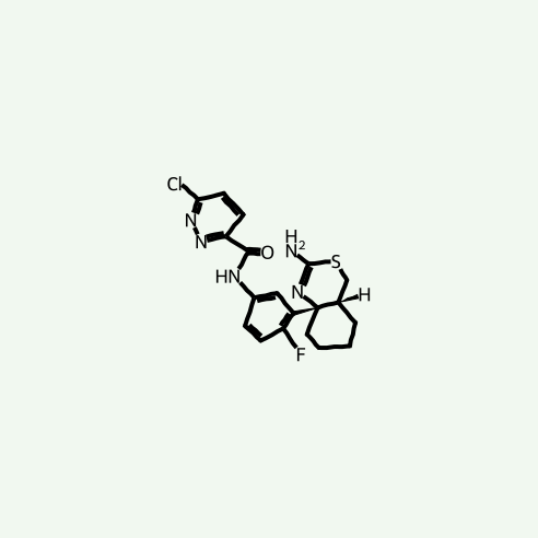 NC1=N[C@@]2(c3cc(NC(=O)c4ccc(Cl)nn4)ccc3F)CCCC[C@H]2CS1